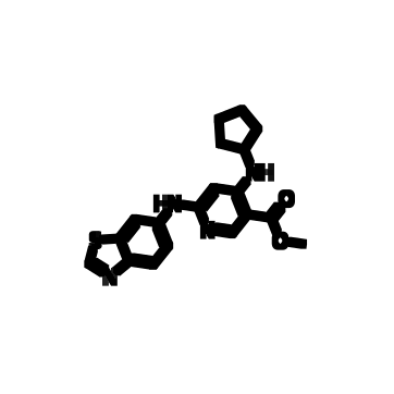 COC(=O)c1cnc(Nc2ccc3ncsc3c2)cc1NC1CCCC1